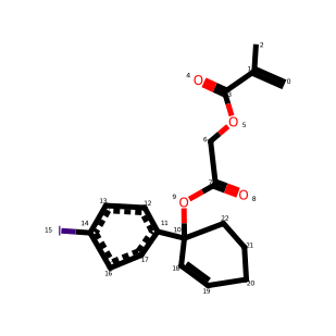 C=C(C)C(=O)OCC(=O)OC1(c2ccc(I)cc2)C=CCCC1